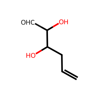 C=CCC(O)C(O)C=O